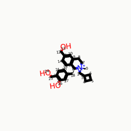 C[N@+]1(CC2CCC2)CCc2cc(CO)ccc2[C@H]1Cc1ccc(CO)c(O)c1